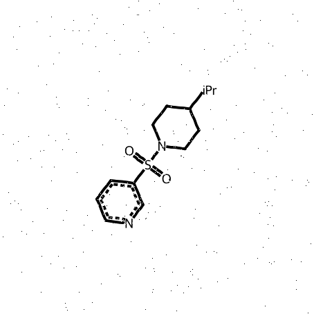 CC(C)C1CCN(S(=O)(=O)c2cccnc2)CC1